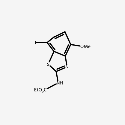 CCOC(=O)Nc1nc2c(OC)ccc(I)c2s1